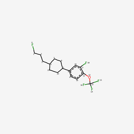 FCCCC1CCC(c2ccc(OC(F)(F)F)c(F)c2)CC1